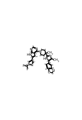 Cc1nc(C2(C)CCN(c3ncnc4[nH]c(-c5cnn(C(F)F)c5)cc34)CC2)[nH]c1-c1ccc2c(c1)OCO2